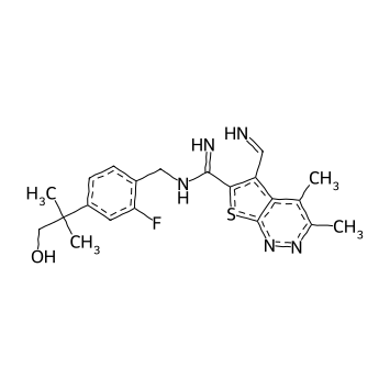 Cc1nnc2sc(C(=N)NCc3ccc(C(C)(C)CO)cc3F)c(C=N)c2c1C